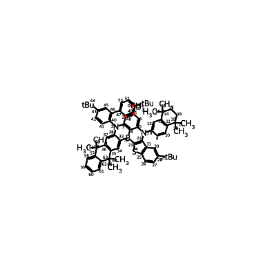 Cc1cc2c3c(c1)N(c1ccc4c(c1)C(C)(C)CCC4(C)C)c1c(sc4ccc(C(C)(C)C)cc14)B3c1cc3c(cc1N2c1ccc(C(C)(C)C)cc1-c1ccc(C(C)(C)C)cc1)C(C)(C)c1ccccc1C3(C)C